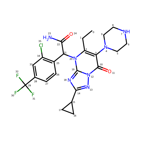 CCc1c(N2CCNCC2)c(=O)n2nc(C3CC3)nc2n1C(C(N)=O)c1ccc(C(F)(F)F)cc1Cl